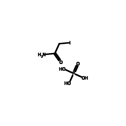 NC(=O)CI.O=P(O)(O)O